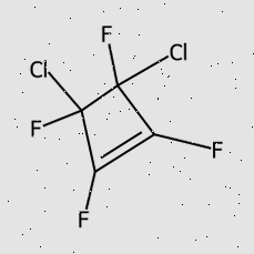 FC1=C(F)C(F)(Cl)C1(F)Cl